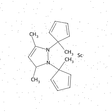 CC1=CC(C)N(C2(C)C=CC=C2)N1C1(C)C=CC=C1.[Sc]